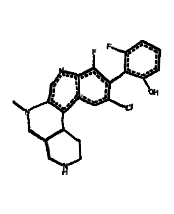 CN1CC2CNCCC2c2c1cnc1c(F)c(-c3c(O)cccc3F)c(Cl)cc21